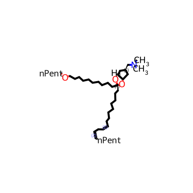 CCCCC/C=C\C/C=C\CCCCCCCC[C@]1(CCCCCCCCCCOCCCCC)OC2C[C@H](CN(C)C)C[C@@H]2O1